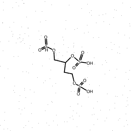 O=[SH](=O)OCC(CCOS(=O)(=O)O)OS(=O)(=O)O